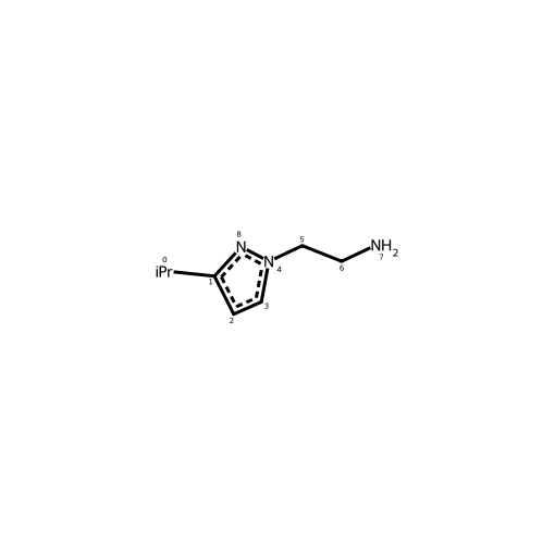 CC(C)c1ccn(CCN)n1